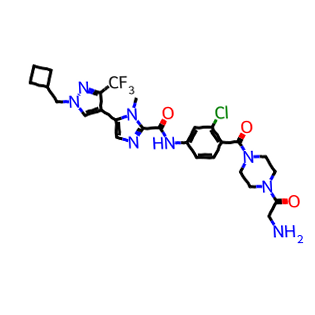 Cn1c(-c2cn(CC3CCC3)nc2C(F)(F)F)cnc1C(=O)Nc1ccc(C(=O)N2CCN(C(=O)CN)CC2)c(Cl)c1